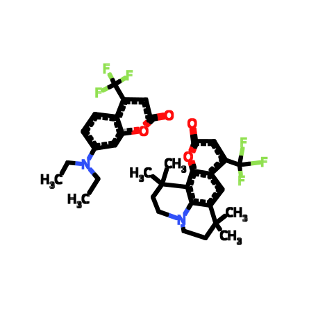 CC1(C)CCN2CCC(C)(C)c3c2c1cc1c(C(F)(F)F)cc(=O)oc31.CCN(CC)c1ccc2c(C(F)(F)F)cc(=O)oc2c1